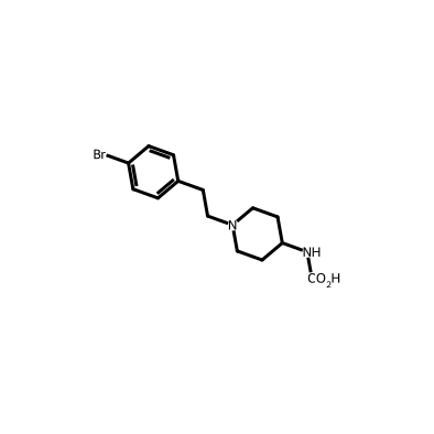 O=C(O)NC1CCN(CCc2ccc(Br)cc2)CC1